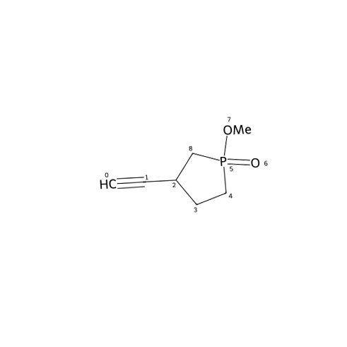 C#CC1CCP(=O)(OC)C1